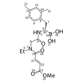 CCN(CC(=O)N[C@@H](Cc1ccc(C)cc1C)B(O)O)C(=O)C=CC(=O)OC